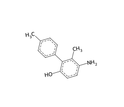 Cc1ccc(-c2c(O)ccc(N)c2C)cc1